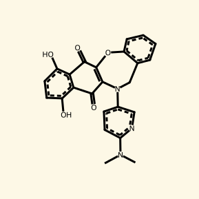 CN(C)c1ccc(N2Cc3ccccc3OC3=C2C(=O)c2c(O)ccc(O)c2C3=O)cn1